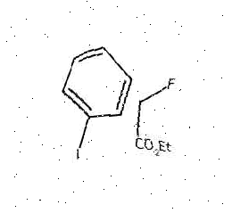 CCOC(=O)CF.Ic1ccccc1